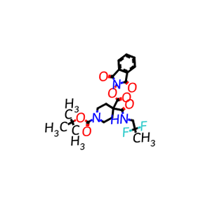 CC(F)(F)CNC(=O)C1(C(=O)ON2C(=O)c3ccccc3C2=O)CCN(C(=O)OC(C)(C)C)CC1